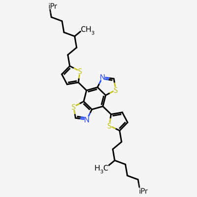 CC(C)CCCC(C)CCc1ccc(-c2c3ncsc3c(-c3ccc(CCC(C)CCCC(C)C)s3)c3ncsc23)s1